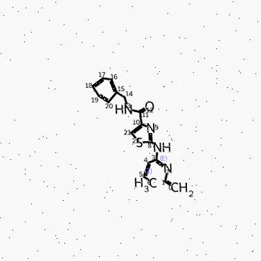 C=C/N=C(\C=C/C)Nc1nc(C(=O)NCc2ccccc2)cs1